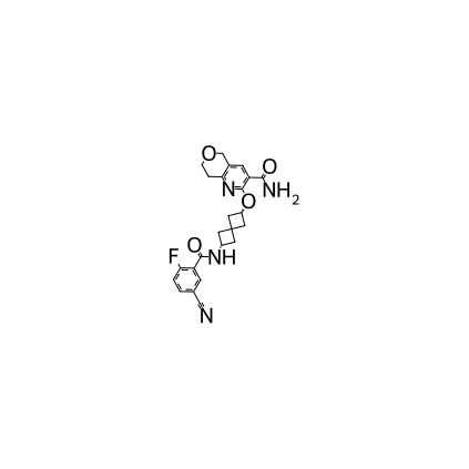 N#Cc1ccc(F)c(C(=O)N[C@H]2CC3(C2)C[C@H](Oc2nc4c(cc2C(N)=O)COCC4)C3)c1